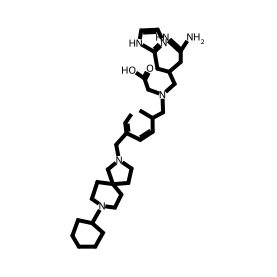 C/C=C(\C=C/C(C)CN(CC(=O)O)CC(CC(=N)N)Cc1ncc[nH]1)CN1CCC2(CCN(C3CCCCC3)CC2)C1